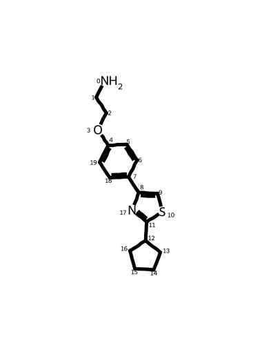 NCCOc1ccc(-c2csc(C3CCCC3)n2)cc1